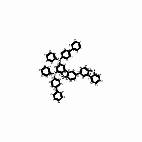 c1ccc(-c2ccc(N(c3ccccc3)c3cc(N(c4ccccc4)c4ccc(-c5ccccc5)cc4)c4sc5ccc(-c6ccc7oc8ccccc8c7c6)cc5c4c3)cc2)cc1